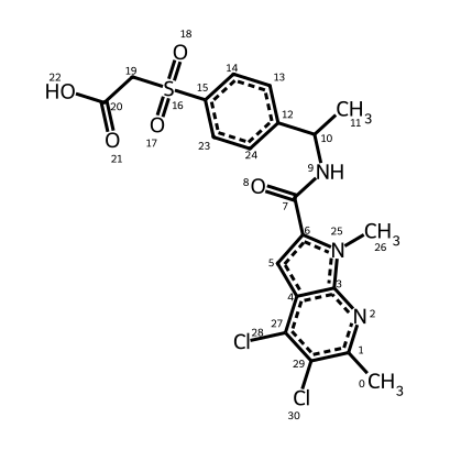 Cc1nc2c(cc(C(=O)NC(C)c3ccc(S(=O)(=O)CC(=O)O)cc3)n2C)c(Cl)c1Cl